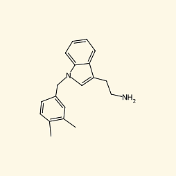 Cc1ccc(Cn2cc(CCN)c3ccccc32)cc1C